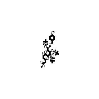 COC(=O)C[C@H]1CC[C@@H]2O[C@@H]([C@H](COCc3ccc(OC)cc3)O[Si](C)(C)C(C)(C)C)C(O[Si](C)(C)C(C)(C)C)C(O[Si](C)(C)C(C)(C)C)[C@H]2O1